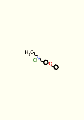 CCCCN(Cl)CCc1ccc(OCc2ccccc2)cc1